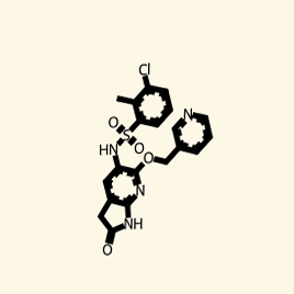 Cc1c(Cl)cccc1S(=O)(=O)Nc1cc2c(nc1OCc1cccnc1)NC(=O)C2